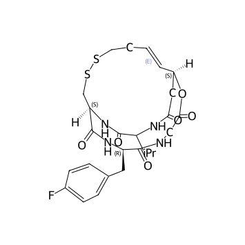 CC(C)C1NC(=O)C[C@H]2/C=C/CCSSC[C@@H](NC1=O)C(=O)N[C@H](Cc1ccc(F)cc1)C(=O)NCC(=O)O2